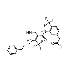 N=C/C(C(=O)Nc1cc(CC(=O)O)ccc1C(F)(F)F)=C(\NCCCc1ccccc1)C(F)(F)F